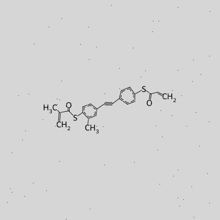 C=CC(=O)Sc1ccc(C#Cc2ccc(SC(=O)C(=C)C)c(C)c2)cc1